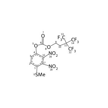 CSc1ccc(OC(=O)OCCC(C(F)(F)F)(C(F)(F)F)C(F)(F)F)c([N+](=O)[O-])c1[N+](=O)[O-]